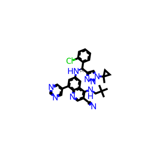 CC(C)(C)CNc1c(C#N)cnc2c(-c3cncnc3)cc(N[C@H](c3cn(C4(C)CC4)nn3)c3ccccc3Cl)cc12